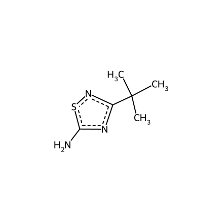 CC(C)(C)c1nsc(N)n1